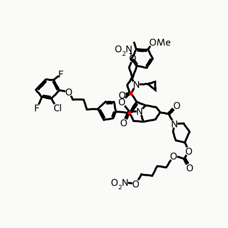 COc1ccc(CN(C(=O)C2=C(c3ccc(CCCOc4c(F)ccc(F)c4Cl)cc3)CC3CC(C(=O)N4CCC(OC(=O)OCCCCO[N+](=O)[O-])CC4)CC2N3C(=O)OCCCCO[N+](=O)[O-])C2CC2)cc1C